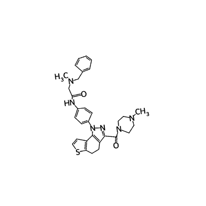 CN1CCN(C(=O)c2nn(-c3ccc(NC(=O)CN(C)Cc4ccccc4)cc3)c3c2CCc2sccc2-3)CC1